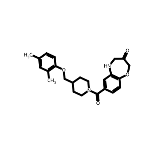 Cc1ccc(OCC2CCN(C(=O)c3ccc4c(c3)NCC(=O)CO4)CC2)c(C)c1